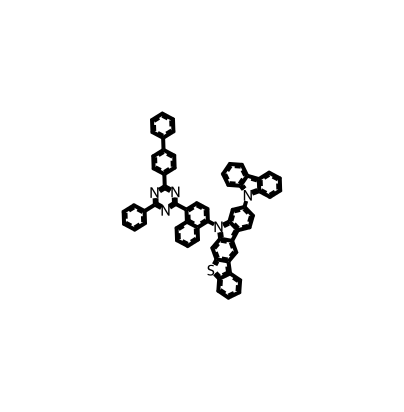 c1ccc(-c2ccc(-c3nc(-c4ccccc4)nc(-c4ccc(-n5c6cc(-n7c8ccccc8c8ccccc87)ccc6c6cc7c(cc65)sc5ccccc57)c5ccccc45)n3)cc2)cc1